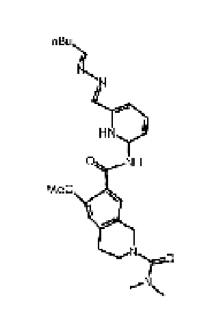 CCCC/C=N/N=C/C1=CC=CC(NC(=O)c2cc3c(cc2OC)CCN(C(=O)N(C)C)C3)N1